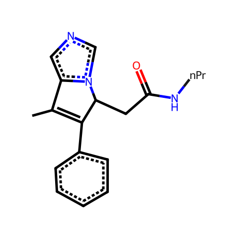 CCCNC(=O)CC1C(c2ccccc2)=C(C)c2cncn21